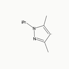 Cc1[c]c(C)n(C(C)C)n1